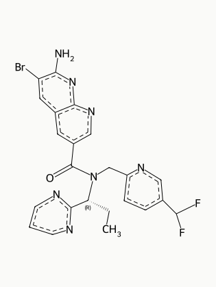 CC[C@H](c1ncccn1)N(Cc1ccc(C(F)F)cn1)C(=O)c1cnc2nc(N)c(Br)cc2c1